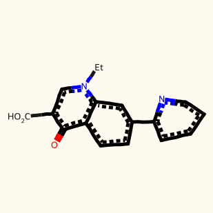 CCn1cc(C(=O)O)c(=O)c2ccc(-c3ccccn3)cc21